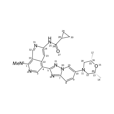 CNc1ncc(-c2nc3ccc(N4C[C@@H](C)O[C@@H](C)C4)cn3n2)c2cc(NC(=O)C3CC3)ncc12